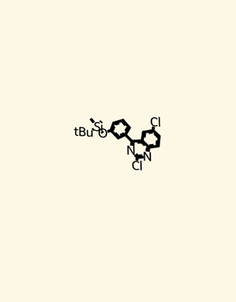 CC(C)(C)[Si](C)(C)Oc1cccc(-c2nc(Cl)nc3ccc(Cl)cc23)c1